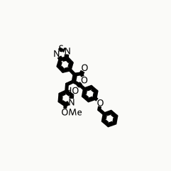 COc1ccc(CC2=C(c3ccc4nsnc4c3)C(=O)OC2(O)c2ccc(OCc3ccccc3)cc2)cn1